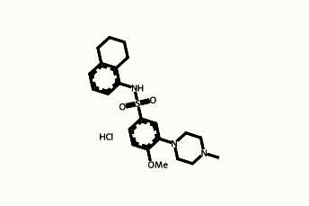 COc1ccc(S(=O)(=O)Nc2cccc3c2CCCC3)cc1N1CCN(C)CC1.Cl